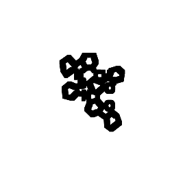 Cc1cccc2c3ccccc3n(B3c4ccccc4-n4c5ccc6c7ccccc7oc6c5c5c6oc7ccccc7c6cc3c54)c12